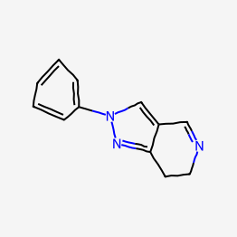 C1=NCCc2nn(-c3ccccc3)cc21